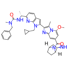 COc1cc(C(=O)N2[C@H]3CC[C@@H]2[C@H](N)C3)cc2nc(-c3cc4ccc([C@@H](C)NC(=O)N(C)Cc5ccccc5)nc4n3CC3CC3)c(C)n12